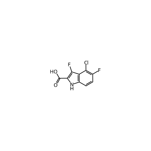 O=C(O)c1[nH]c2ccc(F)c(Cl)c2c1F